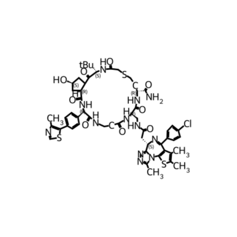 Cc1ncsc1-c1ccc([C@H]2NC(=O)[C@@H]3C[C@@H](O)CC3C(=O)[C@H](C(C)(C)C)NC(=O)CSCC[C@H](C(N)=O)NC(=O)[C@@H](CNC(=O)C[C@@H]3N=C(c4ccc(Cl)cc4)c4c(sc(C)c4C)-n4c(C)nnc43)NC(=O)CCNC2=O)cc1